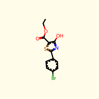 CCOC(=O)c1sc(-c2ccc(Br)cc2)nc1O